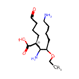 CCOC(CCCCN)C(N)[C@H](CCCC=O)C(=O)O